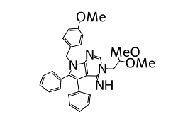 COc1ccc(Cn2c(-c3ccccc3)c(-c3ccccc3)c3c(=N)n(CC(OC)OC)cnc32)cc1